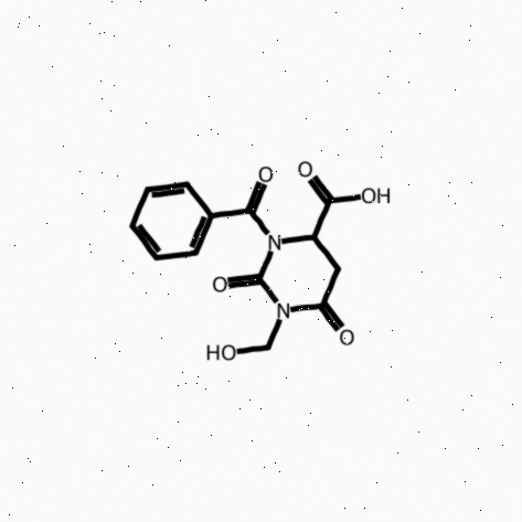 O=C(O)C1CC(=O)N(CO)C(=O)N1C(=O)c1ccccc1